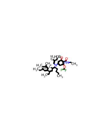 C=CC(=C/C(C)=C(\CCCC)N(/C=C(/C)CC)c1cc(OC)c(C(=O)NCC)c(OC(F)F)c1)/C(/C=C(/C)CC)=C/C(C)CC